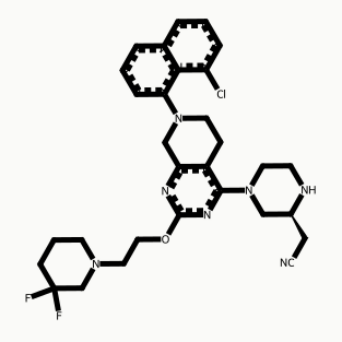 N#CC[C@H]1CN(c2nc(OCCN3CCCC(F)(F)C3)nc3c2CCN(c2cccc4cccc(Cl)c24)C3)CCN1